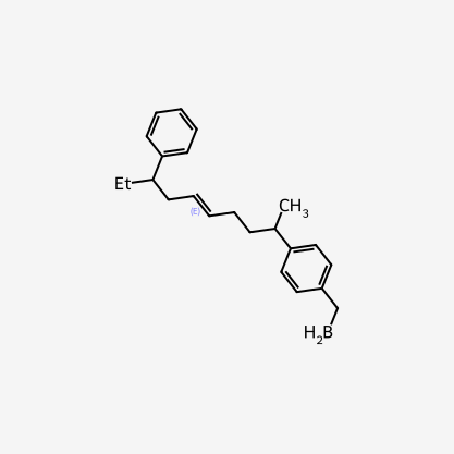 BCc1ccc(C(C)CC/C=C/CC(CC)c2ccccc2)cc1